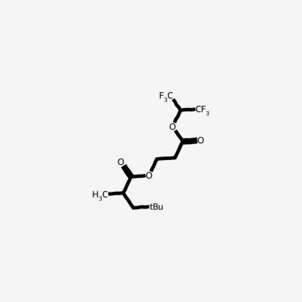 CC(CC(C)(C)C)C(=O)OCCC(=O)OC(C(F)(F)F)C(F)(F)F